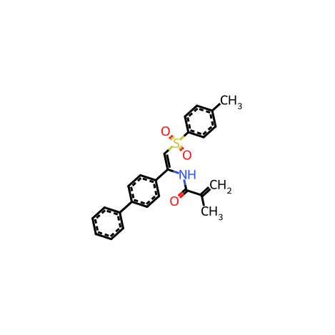 C=C(C)C(=O)NC(=CS(=O)(=O)c1ccc(C)cc1)c1ccc(-c2ccccc2)cc1